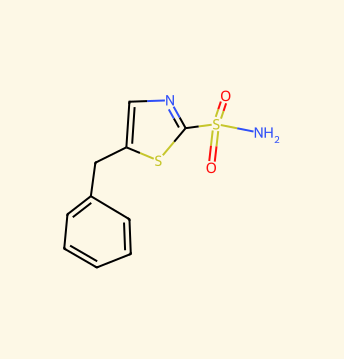 NS(=O)(=O)c1ncc(Cc2ccccc2)s1